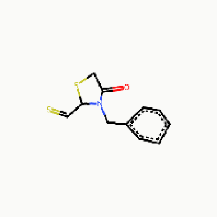 O=C1CSC(C=S)N1Cc1ccccc1